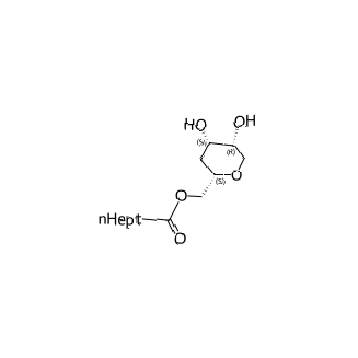 CCCCCCCC(=O)OC[C@@H]1C[C@H](O)[C@H](O)CO1